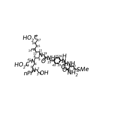 CCCN(CCO)CCN(CCN(CCC(C)CCCC(=O)O)CC(=O)NCc1ccc(NC(=O)N[C@@H](CCSC)C(N)=O)cc1)CC(=O)O